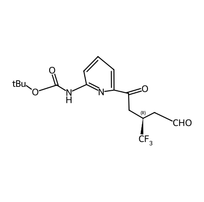 CC(C)(C)OC(=O)Nc1cccc(C(=O)C[C@@H](CC=O)C(F)(F)F)n1